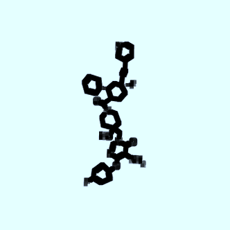 Nc1c(Oc2ccc(F)cc2)ncn(CC2(O)CCN(C(=O)[C@@H]3CC[C@](F)(C#Cc4cccnc4)C[C@H]3c3ccccc3)CC2)c1=O